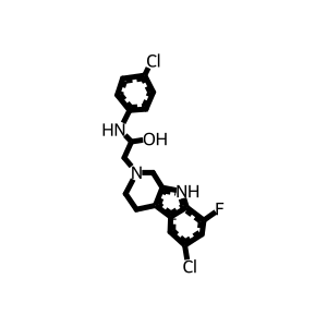 OC(CN1CCc2c([nH]c3c(F)cc(Cl)cc23)C1)Nc1ccc(Cl)cc1